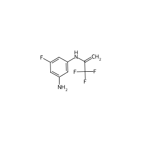 C=C(Nc1cc(N)cc(F)c1)C(F)(F)F